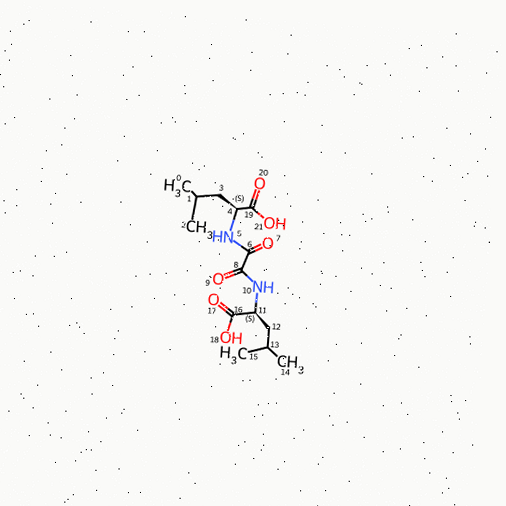 CC(C)C[C@H](NC(=O)C(=O)N[C@@H](CC(C)C)C(=O)O)C(=O)O